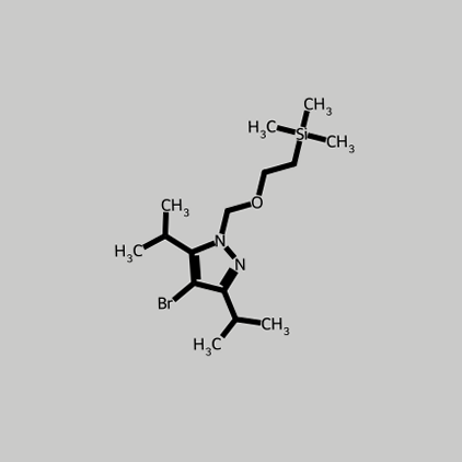 CC(C)c1nn(COCC[Si](C)(C)C)c(C(C)C)c1Br